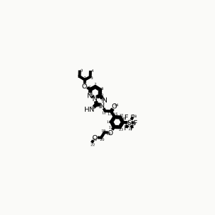 CCC(CC)Oc1ccc2nn(CC(=O)c3cc(OCCOC)cc(S(F)(F)(F)(F)F)c3)c(=N)n2n1